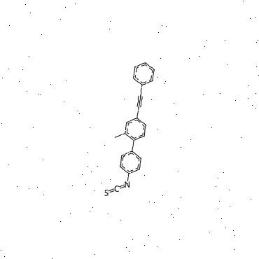 Cc1cc(C#Cc2ccccc2)ccc1-c1ccc(N=C=S)cc1